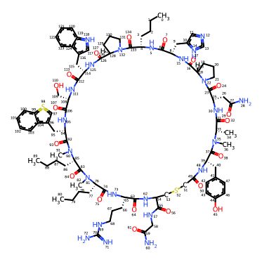 CCCC[C@@H]1NC(=O)[C@H](Cc2cnc[nH]2)NC(=O)[C@@H]2CCCN2C(=O)[C@H](CC(N)=O)NC(=O)[C@H](C)N(C)C(=O)[C@H](Cc2ccc(O)cc2)NC(=O)CSCC(C(=O)NCC(N)=O)NC(=O)[C@H](CCCNC(=N)N)NC(=O)[C@H](CCCC)N(C)C(=O)[C@H](CCCC)N(C)C(=O)[C@H](Cc2csc3ccccc23)NC(=O)[C@H](CO)NC(=O)[C@H](Cc2c[nH]c3ccccc23)NC(=O)[C@H]2CCCN2C1=O